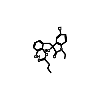 CCCC(=O)Oc1c(O)cccc1CC1(O)C(=O)N(CC)c2ccc(Cl)cc21